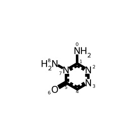 Nc1nncc(=O)n1N